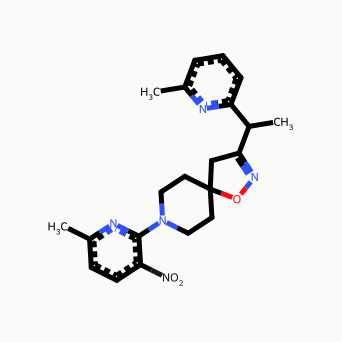 Cc1cccc(C(C)C2=NOC3(CCN(c4nc(C)ccc4[N+](=O)[O-])CC3)C2)n1